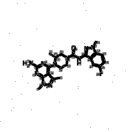 Cc1nn(C)c2nc(N)nc(N3CCN(C(=O)Nc4nn(C)c5ccc(F)cc45)C[C@@H]3C)c12